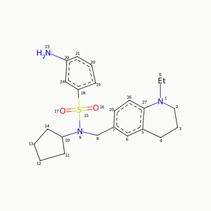 CCN1CCCc2cc(CN(C3CCCC3)S(=O)(=O)c3cccc(N)c3)ccc21